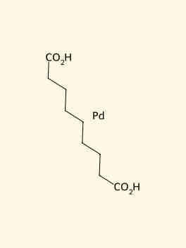 O=C(O)CCCCCCCC(=O)O.[Pd]